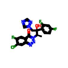 C[C@@H](n1nnc2cc(Cl)c(F)cc2c1=O)[C@](O)(Cn1cncn1)c1ccc(F)cc1F